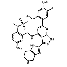 COc1ccc(N(C)S(C)(=O)=O)c(CNc2nc(-c3cc(F)c(OC)cc3CC(F)(F)F)nc3[nH]nc(-c4nc5c([nH]4)CCNC5)c23)c1